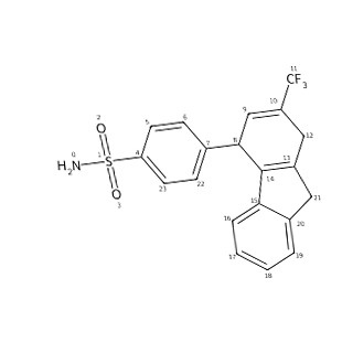 NS(=O)(=O)c1ccc(C2C=C(C(F)(F)F)CC3=C2c2ccccc2C3)cc1